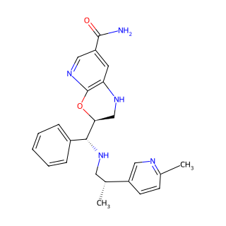 Cc1ccc([C@H](C)CN[C@H](c2ccccc2)[C@@H]2CNc3cc(C(N)=O)cnc3O2)cn1